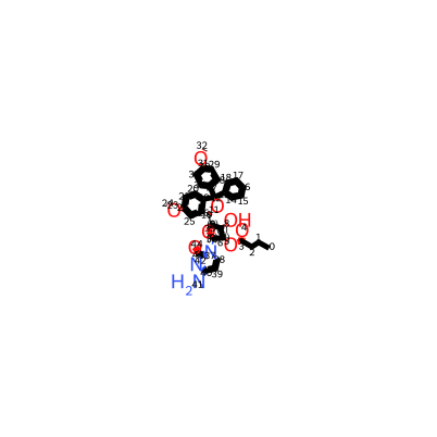 CCCC(=O)O[C@@H]1[C@H](O)[C@@H](COC(c2ccccc2)(c2ccc(OC)cc2)c2ccc(OC)cc2)O[C@H]1n1ccc(N)nc1=O